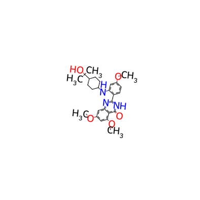 COc1ccc(-c2nc3cc(OC)cc(OC)c3c(=O)[nH]2)c(NC2CCC(C(C)(C)O)CC2)c1